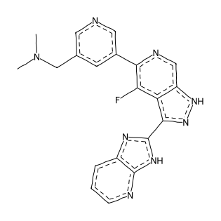 CN(C)Cc1cncc(-c2ncc3[nH]nc(-c4nc5cccnc5[nH]4)c3c2F)c1